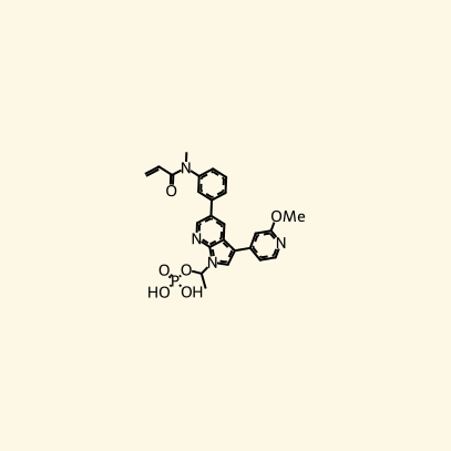 C=CC(=O)N(C)c1cccc(-c2cnc3c(c2)c(-c2ccnc(OC)c2)cn3C(C)OP(=O)(O)O)c1